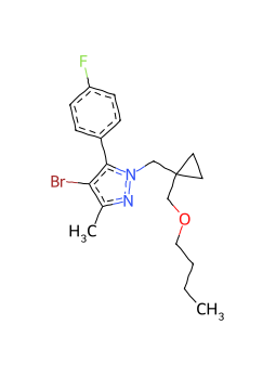 CCCCOCC1(Cn2nc(C)c(Br)c2-c2ccc(F)cc2)CC1